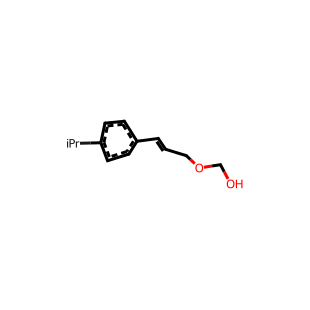 CC(C)c1ccc(/C=C/COCO)cc1